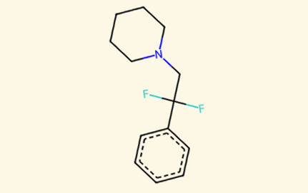 FC(F)(CN1CCCCC1)c1ccccc1